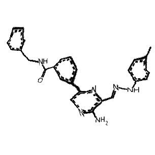 Cc1ccc(N/N=C/c2nc(-c3cccc(C(=O)NCc4ccccc4)c3)cnc2N)cc1